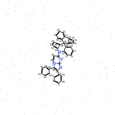 c1ccc(-c2nc3nc(N4c5ccccc5C5(c6ccccc6-c6ccccc65)c5ccccc54)ccn3c2-c2ccccc2)cc1